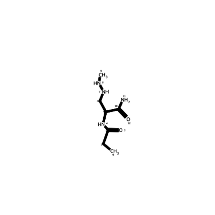 CCC(=O)NC(CNNC)C(N)=O